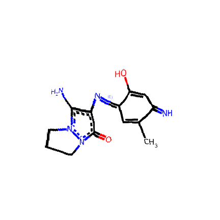 CC1=C/C(=N\c2c(N)n3n(c2=O)CCC3)C(O)=CC1=N